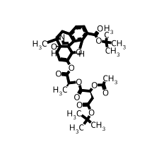 CC(=O)O[C@@H](CC(=O)OC(C)(C)C)C(=O)O[C@@H](C)C(=O)OC1=CC[C@@]2(O)C3Cc4ccc(C(=O)OC(C)(C)C)c5c4[C@@]2(CCN3C)[C@H]1O5